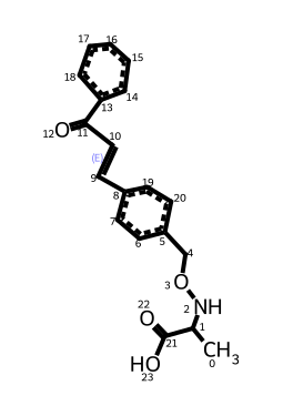 CC(NOCc1ccc(/C=C/C(=O)c2ccccc2)cc1)C(=O)O